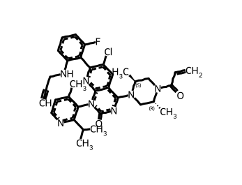 C#CCNc1cccc(F)c1-c1nc2c(cc1Cl)c(N1C[C@@H](C)N(C(=O)C=C)C[C@@H]1C)nc(=O)n2-c1c(C)ccnc1C(C)C